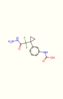 NNC(=O)C(F)(F)C1(c2cccc(NC(=O)O)c2)CC1